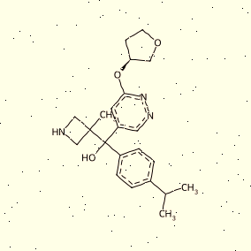 CC(C)c1ccc(C(O)(c2cnnc(O[C@H]3CCOC3)c2)C2(C)CNC2)cc1